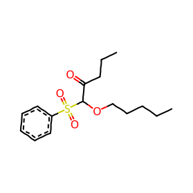 CCCCCOC(C(=O)CCC)S(=O)(=O)c1ccccc1